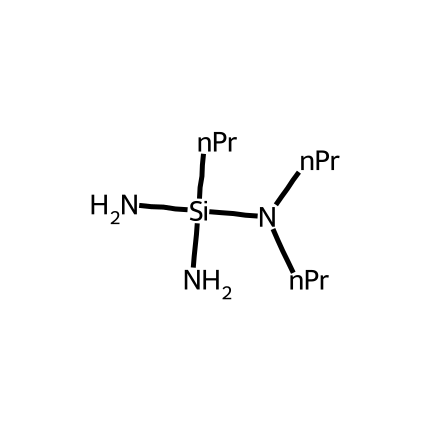 CCCN(CCC)[Si](N)(N)CCC